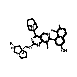 Oc1cc(-c2ncc3c(C4CC5CCC(C4)N5)nc(OC[C@@]45CCCN4C[C@H](F)C5)nc3c2F)c2c(F)c(F)ccc2c1